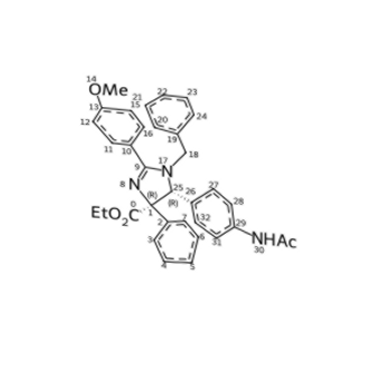 CCOC(=O)[C@]1(c2ccccc2)N=C(c2ccc(OC)cc2)N(Cc2ccccc2)[C@@H]1c1ccc(NC(C)=O)cc1